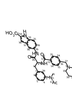 CC(=O)N(C)c1cccc(CC(NC(=O)c2ccc(CN3CCOCC3)cc2)C(=O)Nc2ccc3[nH]c(C(=O)O)cc3c2)c1